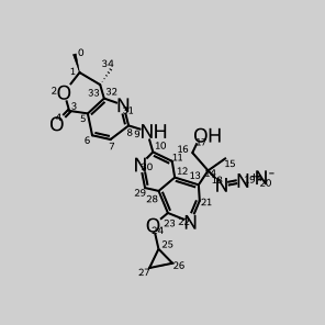 C[C@@H]1OC(=O)c2ccc(Nc3cc4c(C(C)(CO)N=[N+]=[N-])cnc(OC5CC5)c4cn3)nc2[C@H]1C